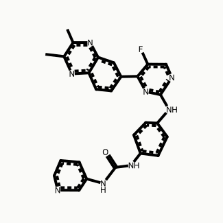 Cc1nc2ccc(-c3nc(Nc4ccc(NC(=O)Nc5cccnc5)cc4)ncc3F)cc2nc1C